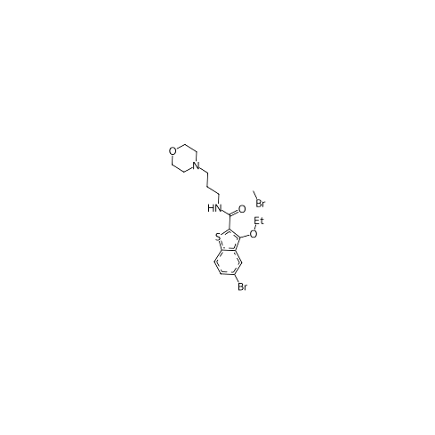 CBr.CCOc1c(C(=O)NCCCN2CCOCC2)sc2ccc(Br)cc12